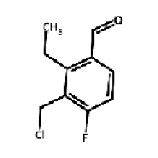 CCc1c(C=O)ccc(F)c1CCl